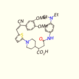 CCN(CC)c1ccc(NC(=O)CC(C(=O)O)C2CCN(c3ccc(C=C(C#N)c4ccc(OC)c(OC)c4)s3)CC2)cc1